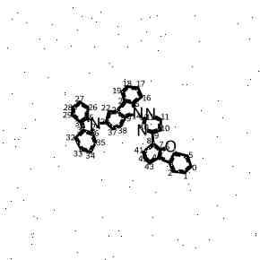 c1ccc2c(c1)oc1c(-c3ccnc(-n4c5ccccc5c5cc(-n6c7ccccc7c7ccccc76)ccc54)n3)cccc12